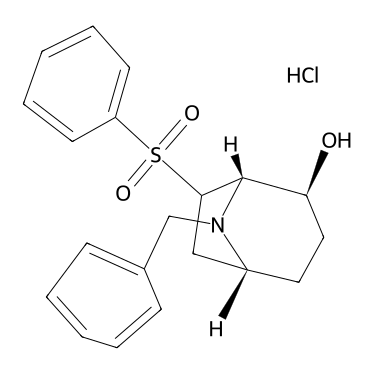 Cl.O=S(=O)(c1ccccc1)C1C[C@H]2CC[C@H](O)[C@@H]1N2Cc1ccccc1